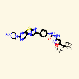 CC(C)(C)c1cc(NC(=O)Nc2ccc(-c3cn4c(n3)sc3nc(N5CCNCC5)ncc34)cc2)no1